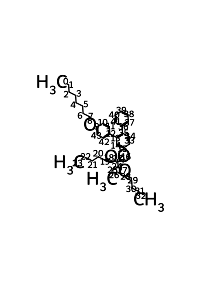 CCCCCCCCOc1ccc(-c2cc(O[C@H](OCCCCC)C(CC)OCCCCC)ccc2-c2ccccc2)cc1